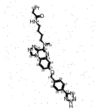 CC(C)CC(=O)NCCCCN(C)c1nc2cc(OCc3ccc(-c4nn[nH]n4)cc3)ccc2n2cnnc12